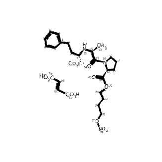 CCOC(=O)[C@H](CCc1ccccc1)N[C@@H](C)C(=O)N1CCC[C@H]1C(=O)OCCCCO[N+](=O)[O-].O=C(O)C=CC(=O)O